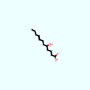 CCCC=CCCC(O)CCCC(=O)O